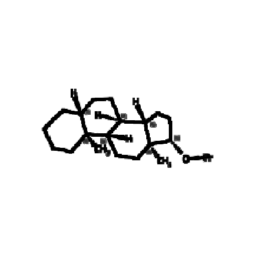 CC(C)O[C@H]1CC[C@H]2[C@@H]3CC[C@H]4CCCC[C@]4(C)[C@H]3CC[C@]12C